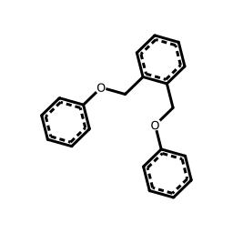 c1ccc(OCc2ccccc2COc2ccccc2)cc1